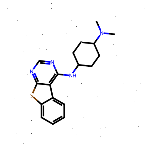 CN(C)C1CCC(Nc2ncnc3sc4ccccc4c23)CC1